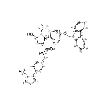 Cc1ncsc1-c1ccc(CNC(=O)[C@@H]2C[C@@H](O)CN2C(=O)[C@H](CC(F)(F)F)NC(=O)OCC2c3ccccc3-c3ccccc32)cc1